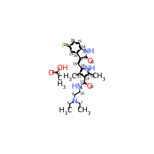 CC(=O)O.CCN(CC)CCNC(=O)c1c(C)[nH]c(C=C2C(=O)Nc3ccc(F)cc32)c1C